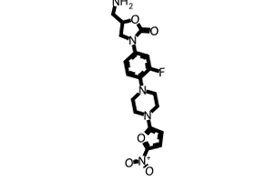 NCC1CN(c2ccc(N3CCN(c4ccc([N+](=O)[O-])o4)CC3)c(F)c2)C(=O)O1